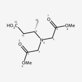 COC(=O)CN(CC(=O)OC)[C@@H](C)CC(=O)O